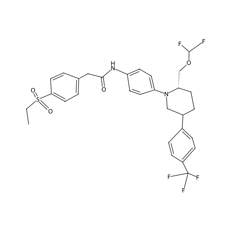 CCS(=O)(=O)c1ccc(CC(=O)Nc2ccc(N3CC(c4ccc(C(F)(F)F)cc4)CC[C@H]3COC(F)F)cc2)cc1